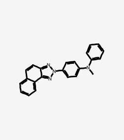 CN(c1ccccc1)c1ccc(-n2nc3ccc4ccccc4c3n2)cc1